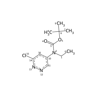 CCN(C(=O)OC(C)(C)C)c1cnnc(Cl)c1